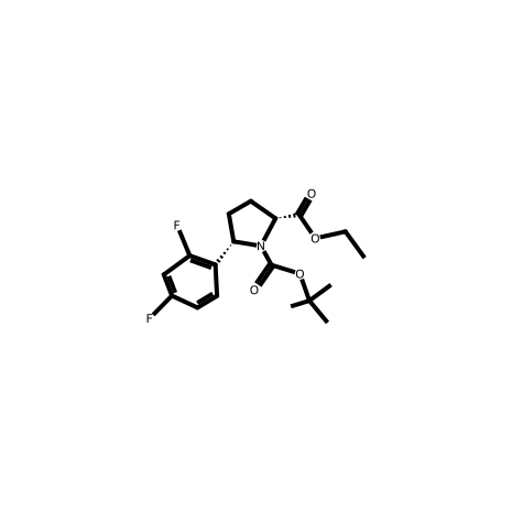 CCOC(=O)[C@H]1CC[C@@H](c2ccc(F)cc2F)N1C(=O)OC(C)(C)C